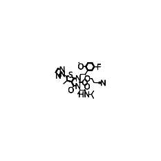 COc1ccc(F)cc1[C@H](Cn1c(=O)n([C@H](C)C(=O)NC(C)C)c(=O)c2c(C)c(-n3nccn3)sc21)OCCC#N